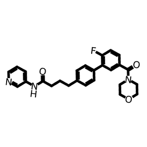 O=C(CCCc1ccc(-c2cc(C(=O)N3CCOCC3)ccc2F)cc1)Nc1cccnc1